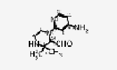 CC1(C)NCCN(c2cc(N)ccn2)C1C=O